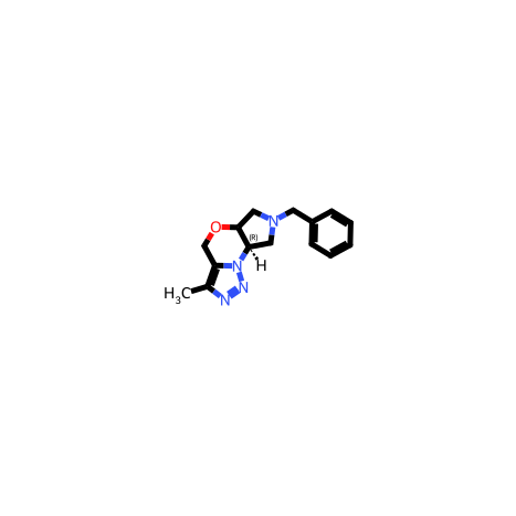 Cc1nnn2c1COC1CN(Cc3ccccc3)C[C@H]12